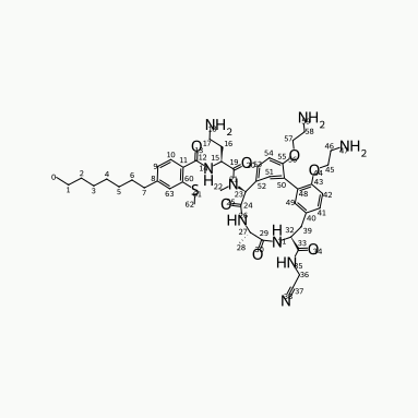 CCCCCCCCc1ccc(C(=O)N[C@@H](CCN)C(=O)N(C)[C@@H]2C(=O)N[C@@H](C)C(=O)N[C@H](C(=O)NCC#N)Cc3ccc(OCCN)c(c3)-c3cc2ccc3OCCN)c(SC)c1